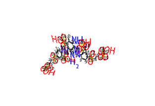 Cc1c(N)c(/N=N/c2ccc(S(=O)(=O)CCOS(=O)(=O)O)cc2S(=O)(=O)O)c(N)c(/N=N/c2ccc(S(=O)(=O)CCOS(=O)(=O)O)cc2S(=O)(=O)O)c1S(=O)(=O)O